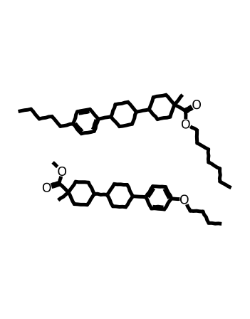 CCCCCCCOC(=O)C1(C)CCC(C2CCC(c3ccc(CCCCC)cc3)CC2)CC1.CCCCOc1ccc(C2CCC(C3CCC(C)(C(=O)OC)CC3)CC2)cc1